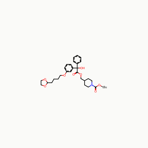 CC(C)(C)OC(=O)N1CCC(COC(=O)C(O)(c2ccccc2)c2cccc(OCCCCC3OCCO3)c2)CC1